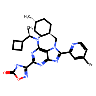 CCN(c1nc(-c2noc(=O)[nH]2)nc2nc(-c3cc(C(C)C)ccn3)n(C[C@H]3CC[C@H](C)CC3)c12)[C@H](C)C1CCC1